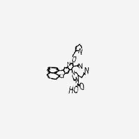 CN1CCCC1COc1nc2cc(-c3cccc4c3CCCC4)c(Cl)cc2c(N2CCN(C(=O)O)C(CC#N)C2)c1C#N